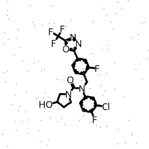 O=C(N1CCC(O)C1)N(Cc1ccc(-c2nnc(C(F)(F)F)o2)cc1F)c1ccc(F)c(Cl)c1